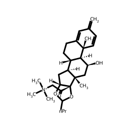 C=C1C=C[C@@]2(C)C(=C1)CC[C@@H]1[C@@H]2[C@@H](O)C[C@@]2(C)[C@H]1C[C@H]1OC(CCC)O[C@]12C(=O)C[N+](C)(C)C